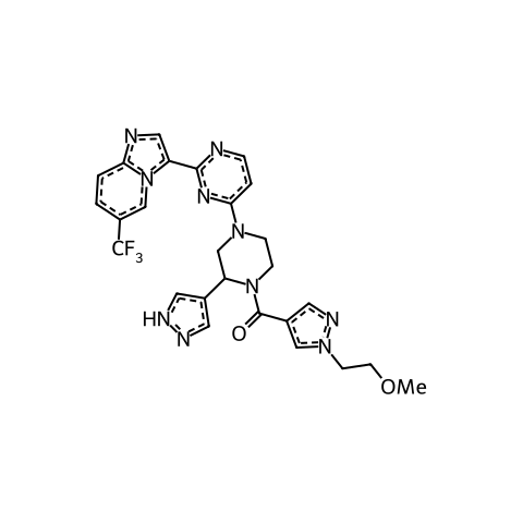 COCCn1cc(C(=O)N2CCN(c3ccnc(-c4cnc5ccc(C(F)(F)F)cn45)n3)CC2c2cn[nH]c2)cn1